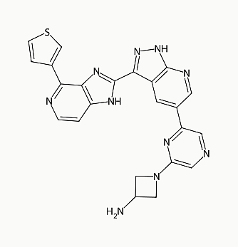 NC1CN(c2cncc(-c3cnc4[nH]nc(-c5nc6c(-c7ccsc7)nccc6[nH]5)c4c3)n2)C1